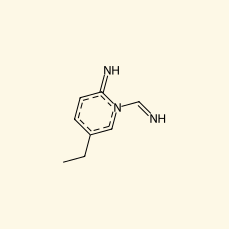 CCc1ccc(=N)n(C=N)c1